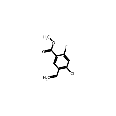 C=Cc1cc(C(=O)OC)c(F)cc1Cl